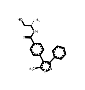 Cc1onc(-c2ccccc2)c1-c1ccc(C(=O)N[C@@H](C)CO)cc1